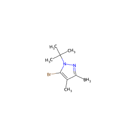 Bc1nn(C(C)(C)C)c(Br)c1C